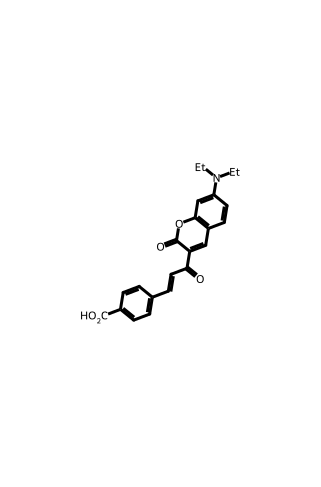 CCN(CC)c1ccc2cc(C(=O)C=Cc3ccc(C(=O)O)cc3)c(=O)oc2c1